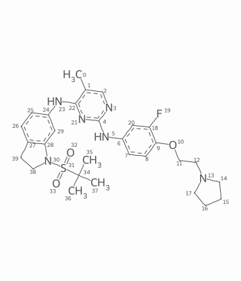 Cc1cnc(Nc2ccc(OCCN3CCCC3)c(F)c2)nc1Nc1ccc2c(c1)N(S(=O)(=O)C(C)(C)C)CC2